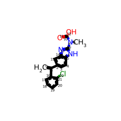 C=C(c1ccc2[nH]c(N(C)C(=O)O)nc2c1)c1ccccc1Cl